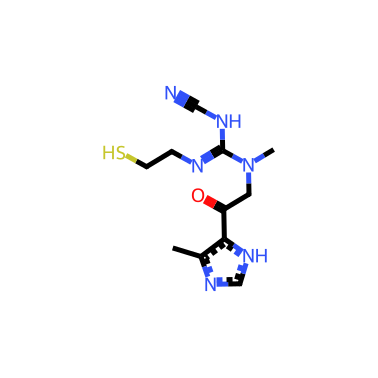 Cc1nc[nH]c1C(=O)CN(C)C(=NCCS)NC#N